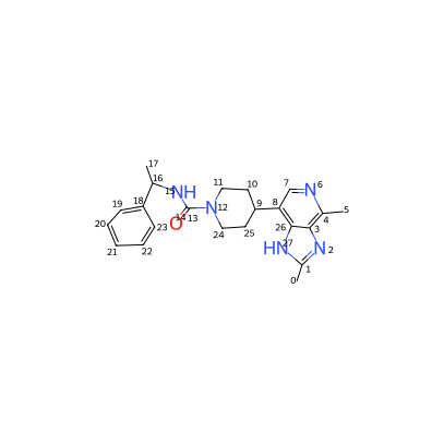 Cc1nc2c(C)ncc(C3CCN(C(=O)NC(C)c4ccccc4)CC3)c2[nH]1